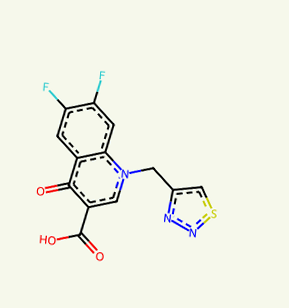 O=C(O)c1cn(Cc2csnn2)c2cc(F)c(F)cc2c1=O